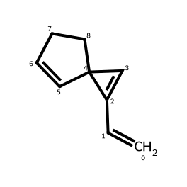 C=CC1=CC12C=CCC2